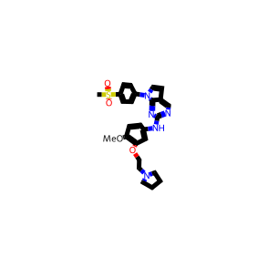 COc1ccc(Nc2ncc3ccn(-c4ccc(S(C)(=O)=O)cc4)c3n2)cc1OCCN1CCCC1